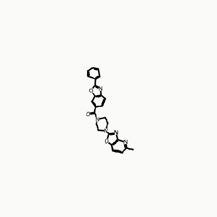 Cc1ccc2oc(N3CCN(C(=O)c4ccc5nc(-c6ccccc6)oc5c4)CC3)nc2n1